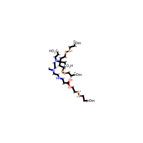 CCCCCCCCCCCCSSCCOC(=O)CCNCCN(C)CCN(CCC(=O)O)C(CCSSCCCCCCCCCCCC)(CCSSCCCCCCCCCCCC)CC(=O)O